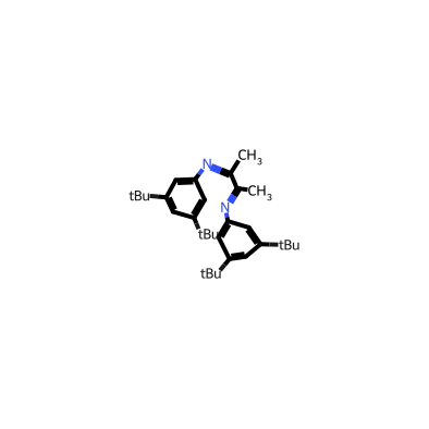 CC(=Nc1cc(C(C)(C)C)cc(C(C)(C)C)c1)C(C)=Nc1cc(C(C)(C)C)cc(C(C)(C)C)c1